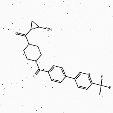 O=C(c1ccc(-c2ccc(C(F)(F)F)nc2)cc1)N1CCN(C(=O)C2CC2O)CC1